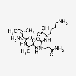 CC[C@H](C)[C@H](N)C(=O)N[C@@H](C)C(=O)N[C@@H](CCC(N)=O)C(=O)N[C@@H](CCCCN)C(=O)O